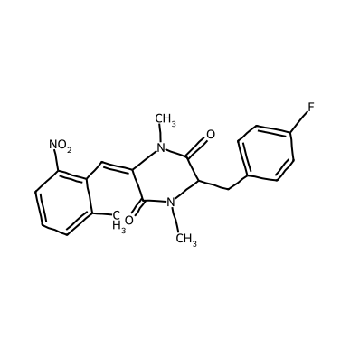 Cc1cccc([N+](=O)[O-])c1/C=C1\C(=O)N(C)C(Cc2ccc(F)cc2)C(=O)N1C